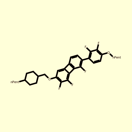 CCCCCOc1ccc(-c2ccc3c(c2F)-c2c-3cc(OCC3CCC(CCCCC)CC3)c(F)c2F)c(F)c1F